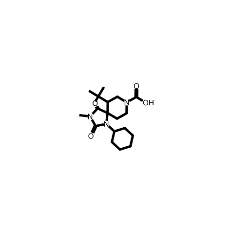 CN1C(=O)N(C2CCCCC2)C2(CCN(C(=O)O)CC2C(C)(C)C)C1=O